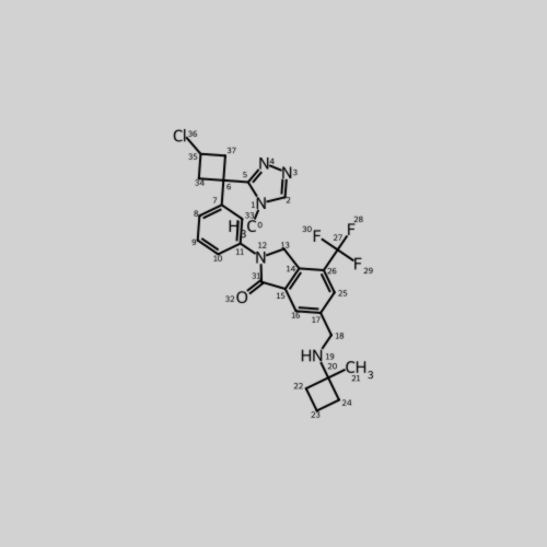 Cn1cnnc1C1(c2cccc(N3Cc4c(cc(CNC5(C)CCC5)cc4C(F)(F)F)C3=O)c2)CC(Cl)C1